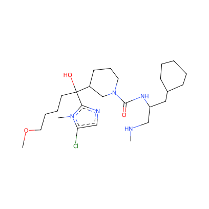 CNCC(CC1CCCCC1)NC(=O)N1CCCC(C(O)(CCCCOC)c2ncc(Cl)n2C)C1